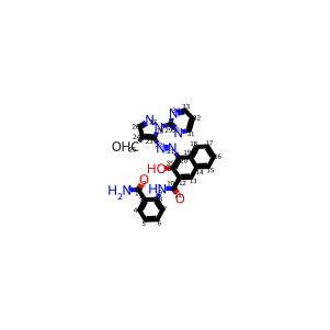 NC(=O)c1ccccc1NC(=O)c1cc2ccccc2c(/N=N/c2c(C=O)cnn2-c2ncccn2)c1O